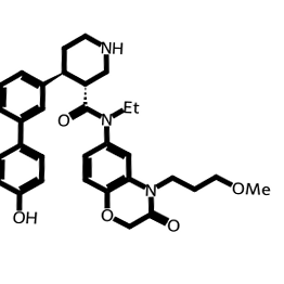 CCN(C(=O)[C@H]1CNCC[C@@H]1c1cccc(-c2ccc(O)cc2)c1)c1ccc2c(c1)N(CCCOC)C(=O)CO2